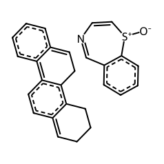 C1=c2ccc3c(c2CCC1)CC=c1ccccc1=3.[O-][S+]1C=CN=Cc2ccccc21